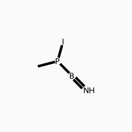 CP(I)B=N